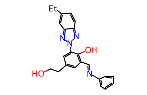 CCc1ccc2nn(-c3cc(CCO)cc(C=Nc4ccccc4)c3O)nc2c1